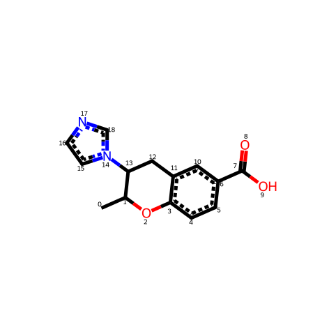 CC1Oc2ccc(C(=O)O)cc2CC1n1ccnc1